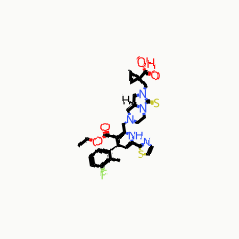 CCOC(=O)C1=C(CN2CCN3C(=S)N(CC4(C(=O)O)CC4)C[C@H]3C2)NC(c2nccs2)=C[C@H]1c1cccc(F)c1C